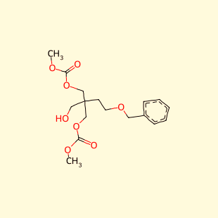 COC(=O)OCC(CO)(CCOCc1ccccc1)COC(=O)OC